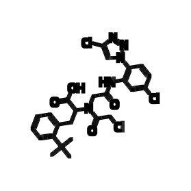 CC(C)(C)c1ccccc1CC(C(=O)O)N(CC(=O)Nc1cc(Cl)ccc1-n1cc(Cl)nn1)C(=O)CCl